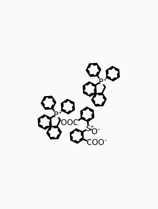 O=C([O-])c1ccccc1[S+]([O-])c1ccccc1C(=O)[O-].c1ccc(C[P+](c2ccccc2)(c2ccccc2)c2ccccc2)cc1.c1ccc(C[P+](c2ccccc2)(c2ccccc2)c2ccccc2)cc1